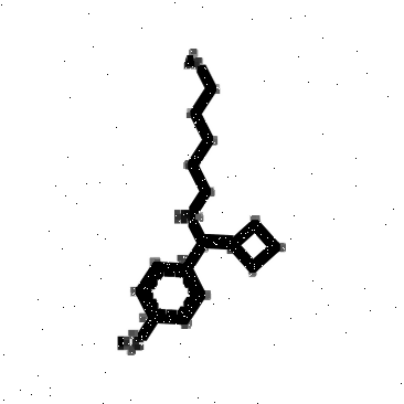 CC(=O)CCCCCNC(=C1CCC1)c1ccc(C)cc1